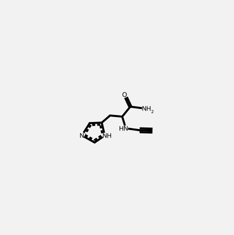 C#CNC(Cc1cnc[nH]1)C(N)=O